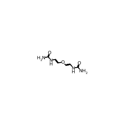 NC(=O)N/C=C/O/C=C/NC(N)=O